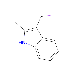 Cc1[nH]c2ccccc2c1CI